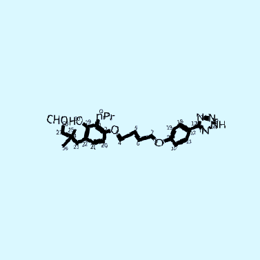 CCCc1c(OCCCCOc2ccc(-c3nn[nH]n3)cc2)ccc(CC(C)(C)CC=O)c1O